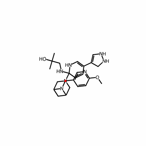 COc1ccc(CN2C3CC2CN(C2(NCC(C)(C)O)C=CC(C4=CNNC4)=CN2)C3)cn1